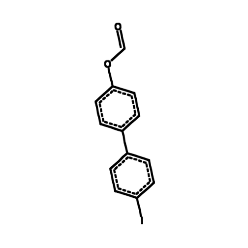 O=COc1ccc(-c2ccc(I)cc2)cc1